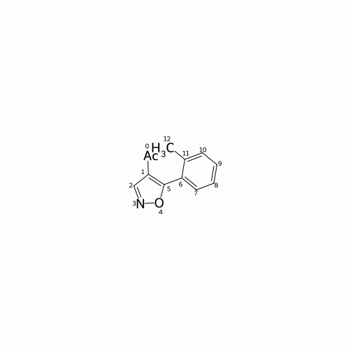 CC(=O)c1cnoc1-c1ccccc1C